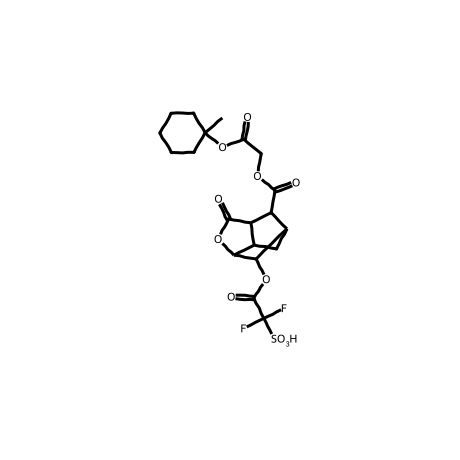 CC1(OC(=O)COC(=O)C2C3CC4C(OC(=O)C42)C3OC(=O)C(F)(F)S(=O)(=O)O)CCCCC1